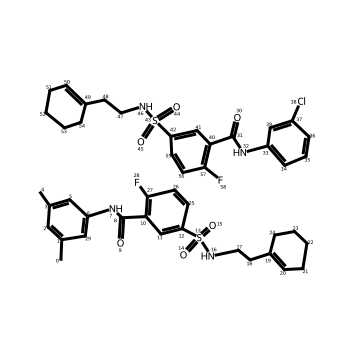 Cc1cc(C)cc(NC(=O)c2cc(S(=O)(=O)NCCC3=CCCCC3)ccc2F)c1.O=C(Nc1cccc(Cl)c1)c1cc(S(=O)(=O)NCCC2=CCCCC2)ccc1F